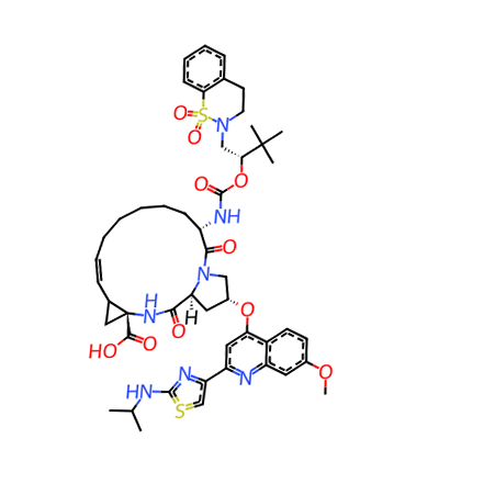 COc1ccc2c(O[C@@H]3C[C@H]4C(=O)N[C@]5(C(=O)O)CC5/C=C\CCCCC[C@H](NC(=O)O[C@H](CN5CCc6ccccc6S5(=O)=O)C(C)(C)C)C(=O)N4C3)cc(-c3csc(NC(C)C)n3)nc2c1